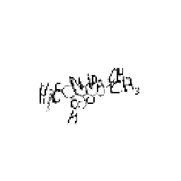 C=C(C)c1ccc([C@H]2OC3(CCCC3)c3c2c(C(C)C)nc2c3[C@@H](O)CC(C)(C)C2)cc1